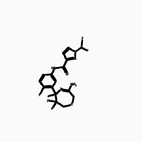 CC1(c2cc(NC(=O)c3ccn(C(F)F)n3)ccc2F)N=C(N)COCC1(F)F